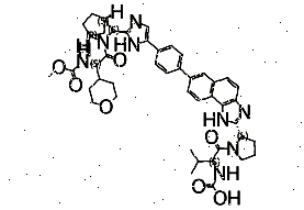 COC(=O)N[C@H](C(=O)N1[C@@H]2CC[C@@H](C2)[C@H]1c1ncc(-c2ccc(-c3ccc4c(ccc5nc([C@@H]6CCCN6C(=O)[C@@H](NC(=O)O)C(C)C)[nH]c54)c3)cc2)[nH]1)C1CCOCC1